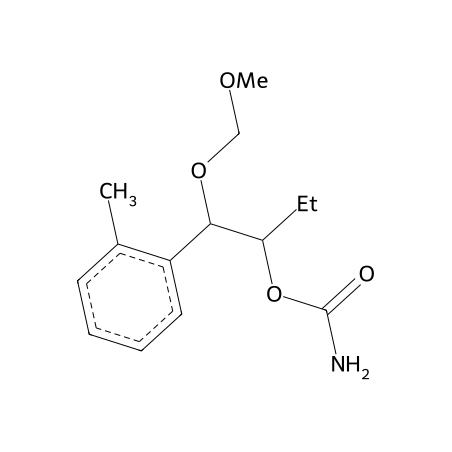 CCC(OC(N)=O)C(OCOC)c1ccccc1C